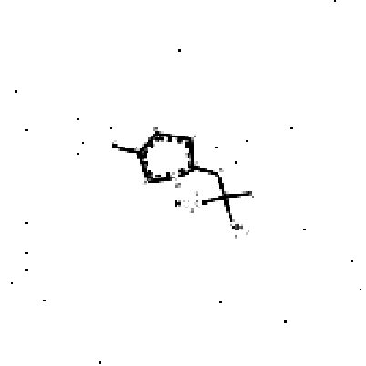 Cc1ccc(CC(C)(N)C(=O)O)cc1